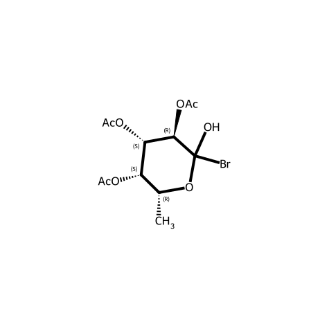 CC(=O)O[C@@H]1[C@H](OC(C)=O)[C@@H](OC(C)=O)C(O)(Br)O[C@@H]1C